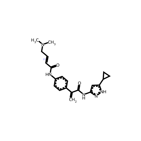 C=C(C(=O)Nc1cc(C2CC2)[nH]n1)c1ccc(NC(=O)/C=C/CN(C)C)cc1